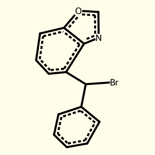 BrC(c1ccccc1)c1cccc2ocnc12